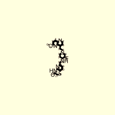 COc1ccc2nccc(CCN3CC[C@@H](NCc4ccc5c(n4)NC(=O)CS5)[C@@H](F)C3)c2n1